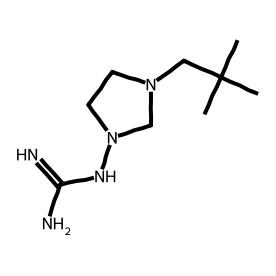 CC(C)(C)CN1CCN(NC(=N)N)C1